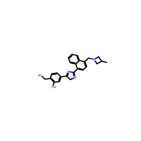 CC(C)Cc1ccc(C2=NC(c3ccc(CN4CC(C)C4)c4ccccc34)=NC2)cc1C#N